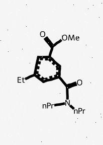 CCCN(CCC)C(=O)c1cc(CC)cc(C(=O)OC)c1